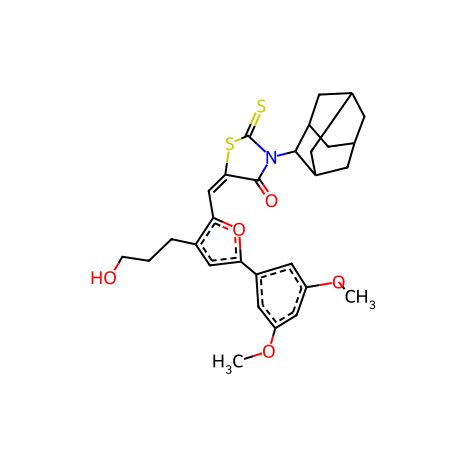 COc1cc(OC)cc(-c2cc(CCCO)c(/C=C3/SC(=S)N(C4C5CC6CC(C5)CC4C6)C3=O)o2)c1